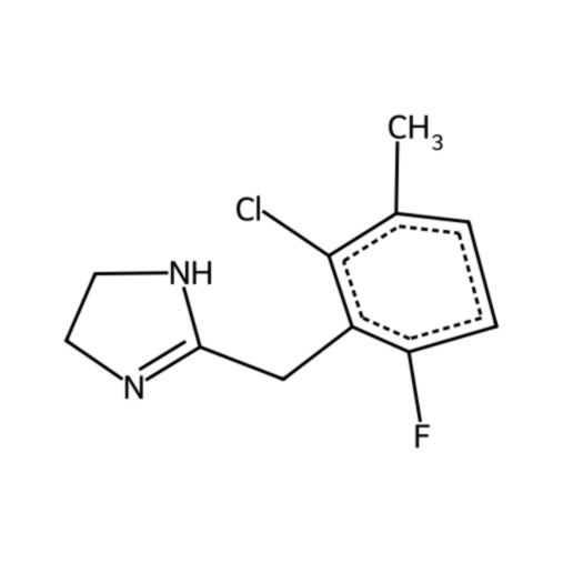 Cc1ccc(F)c(CC2=NCCN2)c1Cl